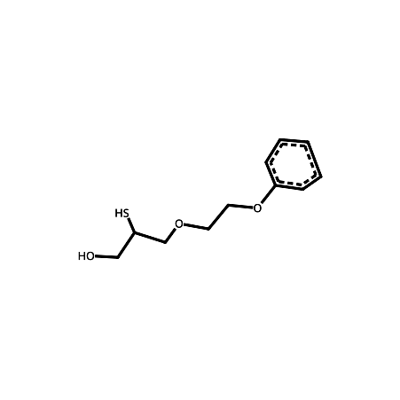 OCC(S)COCCOc1ccccc1